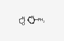 C1=NCCO1.Pc1ccccn1